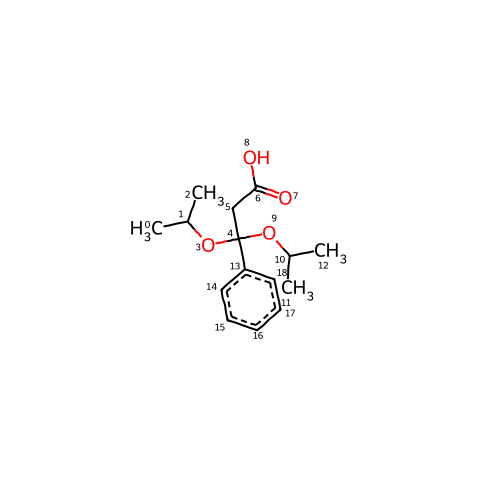 CC(C)OC(CC(=O)O)(OC(C)C)c1ccccc1